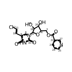 O=C(OCC1OC(n2cc(/C=C/Cl)c(=O)[nH]c2=O)C(O)C1O)c1cccnc1